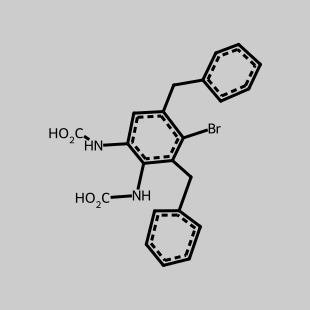 O=C(O)Nc1cc(Cc2ccccc2)c(Br)c(Cc2ccccc2)c1NC(=O)O